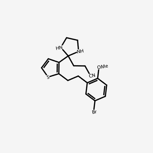 COc1ccc(Br)cc1CCc1sccc1C1(CCC#N)NCCN1